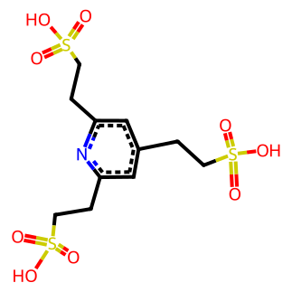 O=S(=O)(O)CCc1cc(CCS(=O)(=O)O)nc(CCS(=O)(=O)O)c1